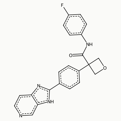 O=C(Nc1ccc(F)cc1)C1(c2ccc(-c3nc4ccncc4[nH]3)cc2)COC1